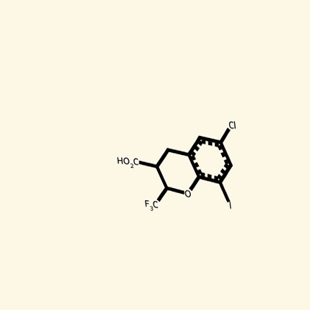 O=C(O)C1Cc2cc(Cl)cc(I)c2OC1C(F)(F)F